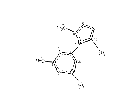 Cc1cc(C=O)nc(-n2c(C)ccc2C)c1